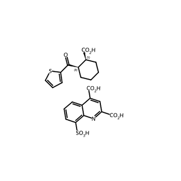 O=C(O)[C@H]1CCCC[C@H]1C(=O)c1cccs1.O=C(O)c1cc(C(=O)O)c2cccc(S(=O)(=O)O)c2n1